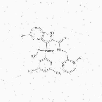 COP(=O)(c1cc(C)cc(C)c1)c1c(C(=O)NCc2ccccc2Cl)[nH]c2ccc(Cl)cc12